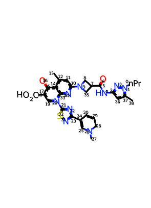 CCCn1nc(NC(=O)C2CN(c3cc(C)c4c(=O)c(C(=O)O)cn(-c5nc(C6=CN(C)CC=C6)ns5)c4n3)C2)cc1C